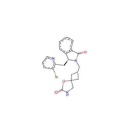 O=C1NCC2(CC(CN3C(=O)c4ccccc4[C@@H]3Cc3ncccc3Br)C2)O1